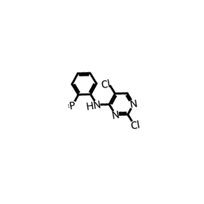 [P]c1ccccc1Nc1nc(Cl)ncc1Cl